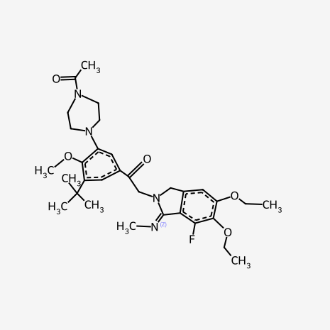 CCOc1cc2c(c(F)c1OCC)/C(=N/C)N(CC(=O)c1cc(N3CCN(C(C)=O)CC3)c(OC)c(C(C)(C)C)c1)C2